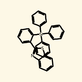 c1ccc([Si](c2ccccc2)(c2ccccc2)c2ccccc2-c2nc3ccccc3s2)cc1